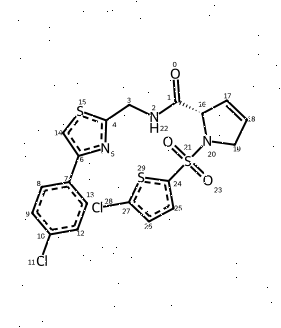 O=C(NCc1nc(-c2ccc(Cl)cc2)cs1)[C@@H]1C=CCN1S(=O)(=O)c1ccc(Cl)s1